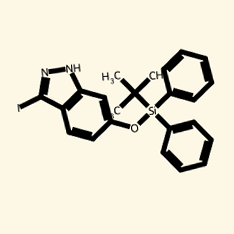 CC(C)(C)[Si](Oc1ccc2c(I)n[nH]c2c1)(c1ccccc1)c1ccccc1